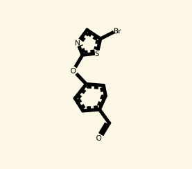 O=Cc1ccc(Oc2ncc(Br)s2)cc1